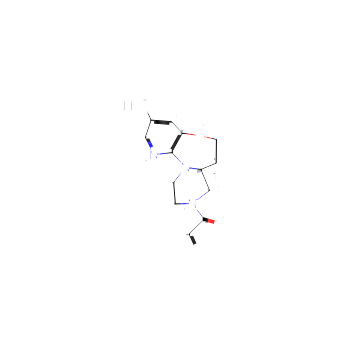 C=CC(=O)N1CCN2c3ncc(C)cc3OCC[C@H]2C1